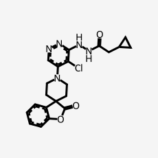 O=C(CC1CC1)NNc1nncc(N2CCC3(CC2)C(=O)Oc2ccccc23)c1Cl